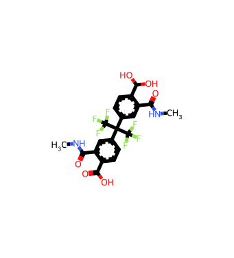 CNC(=O)c1cc(C(c2ccc(C(O)O)c(C(=O)NC)c2)(C(F)(F)F)C(F)(F)F)ccc1C(=O)O